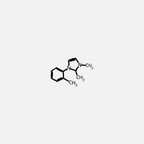 Cc1ccccc1N1C=CN(C)C1C